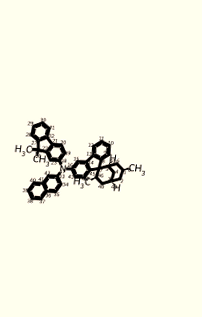 C[C@H]1C[C@@H]2C[C@H](C1)C1(c3ccccc3-c3cc(N(c4ccc5c(c4)C(C)(C)c4ccccc4-5)c4ccc5ccccc5c4)ccc31)[C@H](C)C2